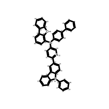 c1ccc(-c2ccc(N(c3ccc(-c4ccc5c(c4)c4ccccc4n5-c4ccccc4)nc3)c3cccc4c3oc3ccccc34)cc2)cc1